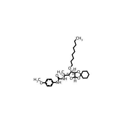 CCCCCCCCCO[C@@H]1[C@H]2OC3(CCCCC3)O[C@H]2O[C@@H]1[C@H](C)NC(=O)Nc1ccc(OC)cc1